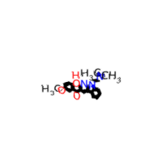 COc1ccc(O)c(C(=O)c2cnc3c(c2)c2ccccc2n3CCN(C)C)c1